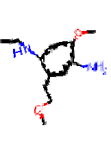 CCNc1cc(OC)c(N)cc1CCOC